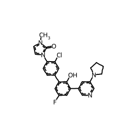 Cn1ccn(-c2ccc(-c3cc(F)cc(-c4cncc(N5CCCC5)c4)c3O)cc2Cl)c1=O